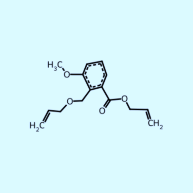 C=CCOCc1c(OC)cccc1C(=O)OCC=C